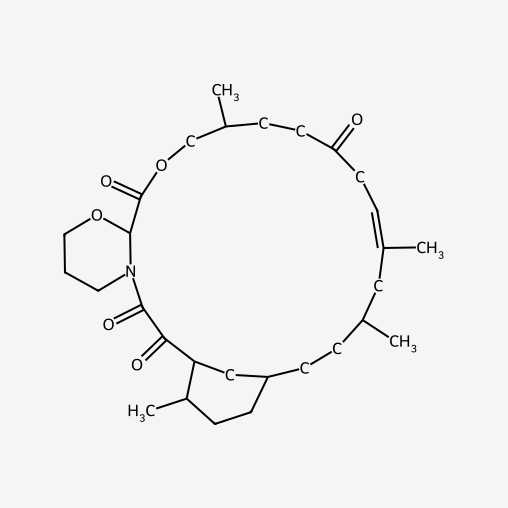 C/C1=C/CC(=O)CCC(C)COC(=O)C2OCCCN2C(=O)C(=O)C2CC(CCC(C)C1)CCC2C